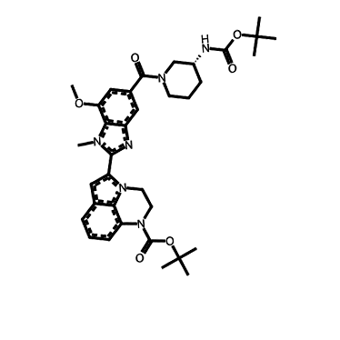 COc1cc(C(=O)N2CCC[C@@H](NC(=O)OC(C)(C)C)C2)cc2nc(-c3cc4cccc5c4n3CCN5C(=O)OC(C)(C)C)n(C)c12